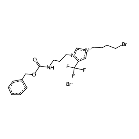 O=C(NCCCn1c[n+](CCCCBr)cc1C(F)(F)F)OCc1ccccc1.[Br-]